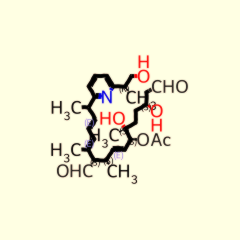 CC(=O)O[C@@H](/C=C/[C@H](C)[C@H](C=O)/C(C)=C/C=C/C(C)c1cccc([C@@H](C)CO)n1)[C@@](C)(O)CC[C@H](O)CC=O